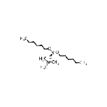 CCCCCCO[N+](=O)OCCCCCC.CN(C)C